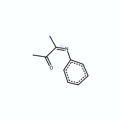 CC(=O)/C(C)=N\c1ccccc1